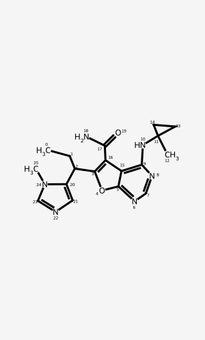 CCC(c1oc2ncnc(NC3(C)CC3)c2c1C(N)=O)c1cncn1C